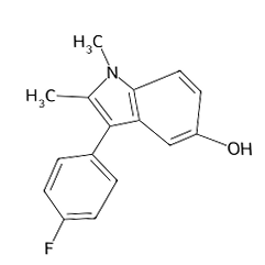 Cc1c(-c2ccc(F)cc2)c2cc(O)ccc2n1C